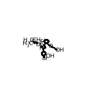 C[Si](C)(C)CCOCn1nc(-c2ccc(Br)c(O)c2)cc1-c1c(F)cccc1COCCCO